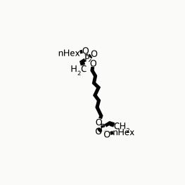 C=CP(=O)(OCCCCCC)OCCCCCCCCOP(=O)(C=C)OCCCCCC